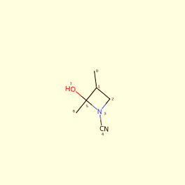 CC1CN(C#N)C1(C)O